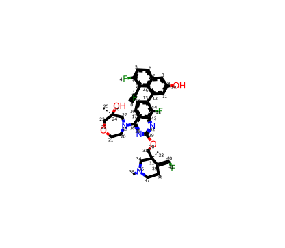 C#Cc1c(F)ccc2cc(O)cc(-c3c(F)cc4c(N5CCOC[C@@](C)(O)C5)nc(OC[C@]5(C)CN(C)CC/C5=C\F)nc4c3F)c12